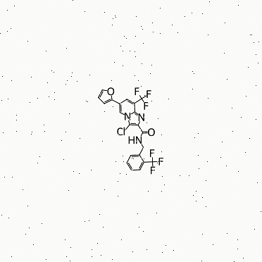 O=C(NCc1ccccc1C(F)(F)F)c1nc2c(C(F)(F)F)cc(-c3ccco3)cn2c1Cl